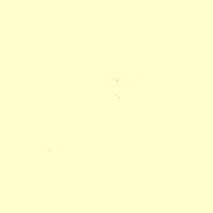 COc1ccc(N/N=C(/Sc2ccc(OC(F)(F)F)cc2)C(C)=O)cc1